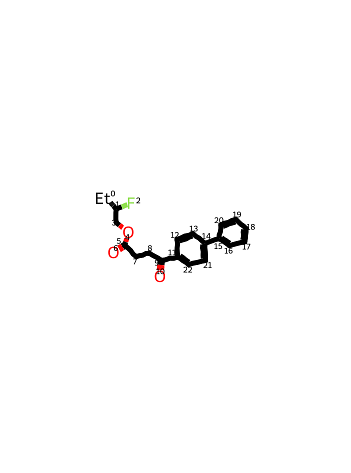 CCC(F)COC(=O)CCC(=O)c1ccc(-c2ccccc2)cc1